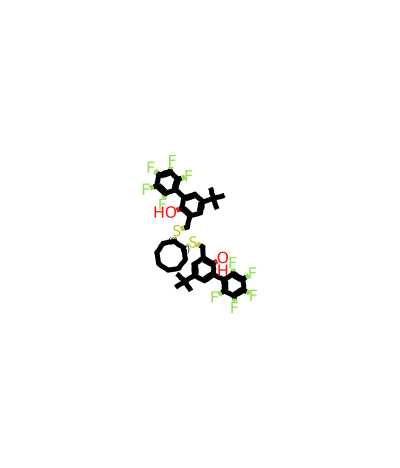 CC(C)(C)c1cc(CS[C@H]2CCCCCC[C@@H]2SCc2cc(C(C)(C)C)cc(-c3c(F)c(F)c(F)c(F)c3F)c2O)c(O)c(-c2c(F)c(F)c(F)c(F)c2F)c1